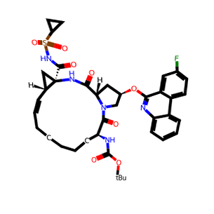 CC(C)(C)OC(=O)N[C@H]1CCCCC/C=C\[C@@H]2C[C@@]2(C(=O)NS(=O)(=O)C2CC2)NC(=O)[C@@H]2C[C@@H](Oc3nc4ccccc4c4ccc(F)cc34)CN2C1=O